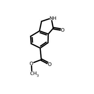 COC(=O)c1ccc2c(c1)C(=O)NC2